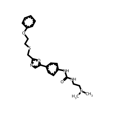 CN(C)CCNC(=O)Nc1ccc(-c2cnc(CSCCOc3ccccc3)o2)cc1